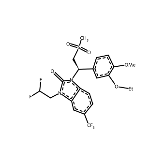 CCOc1cc([C@H](CS(C)(=O)=O)n2c(=O)n(CC(F)F)c3cc(C(F)(F)F)ccc32)ccc1OC